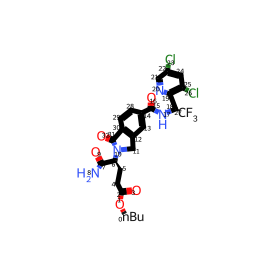 CCCCOC(=O)CC[C@@H](C(N)=O)N1Cc2cc(C(=O)N[C@H](c3ncc(Cl)cc3Cl)C(F)(F)F)ccc2C1=O